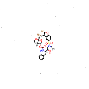 CC(C)CN(C[C@@H](O)[C@H](Cc1ccccc1)NC(=O)OC1CO[C@H]2OCC[C@@H]12)S(=O)(=O)c1ccc2c(c1)C(CBr)C(Br)O2